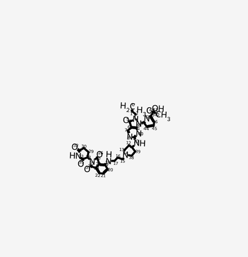 C=CCn1c(=O)c2cnc(NC3CCN(CCCNc4cccc5c4C(=O)N(C4CCC(=O)NC4=O)C5=O)CC3)nc2n1-c1cccc(C(C)(C)O)n1